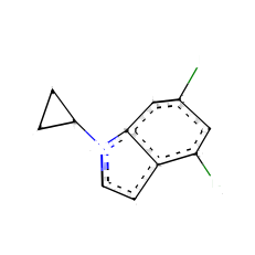 Fc1cc(Br)c2ccn(C3CC3)c2c1